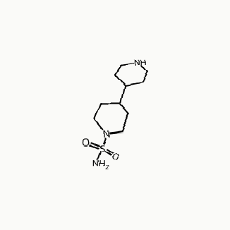 NS(=O)(=O)N1CCC(C2CCNCC2)CC1